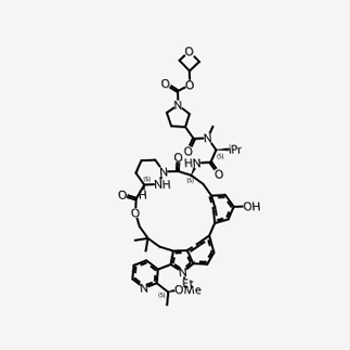 CCn1c(-c2cccnc2[C@H](C)OC)c2c3cc(ccc31)-c1cc(O)cc(c1)C[C@H](NC(=O)[C@H](C(C)C)N(C)C(=O)C1CCN(C(=O)OC3COC3)C1)C(=O)N1CCC[C@H](N1)C(=O)OCC(C)(C)C2